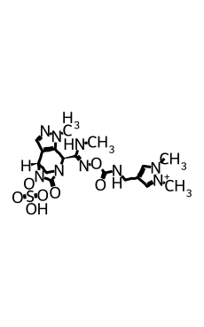 CN/C(=N\OC(=O)NCc1cn(C)[n+](C)c1)[C@@H]1c2c(cnn2C)[C@@H]2CN1C(=O)N2OS(=O)(=O)O